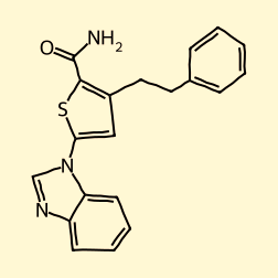 NC(=O)c1sc(-n2cnc3ccccc32)cc1CCc1ccccc1